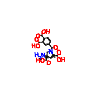 N[C@@]1(C(=O)O)C[C@H](C(=O)O)N(C(=O)c2ccc(C(=O)O)c(C(=O)O)c2)C1